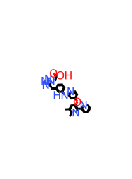 Cc1cc(Oc2ccnc(Nc3cccc(Cc4nnnn4CC(=O)O)c3)c2)c(-c2ccccn2)nc1C